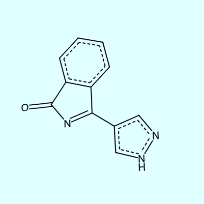 O=C1N=C(c2cn[nH]c2)c2ccccc21